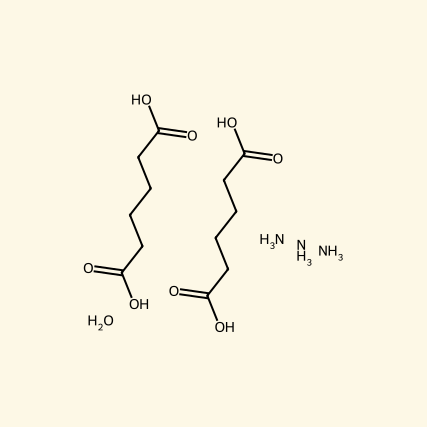 N.N.N.O.O=C(O)CCCCC(=O)O.O=C(O)CCCCC(=O)O